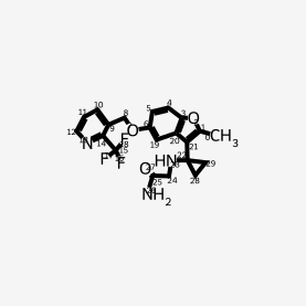 Cc1oc2ccc(OCc3cccnc3C(F)(F)F)cc2c1C1(NCC(N)=O)CC1